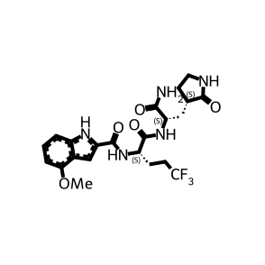 COc1cccc2[nH]c(C(=O)N[C@@H](CCC(F)(F)F)C(=O)N[C@@H](C[C@@H]3CCNC3=O)C(N)=O)cc12